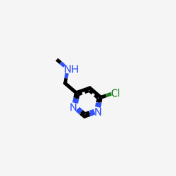 CNCc1cc(Cl)ncn1